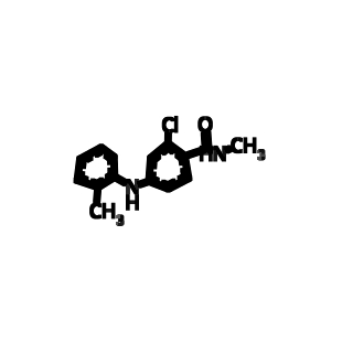 CNC(=O)c1ccc(Nc2ccccc2C)cc1Cl